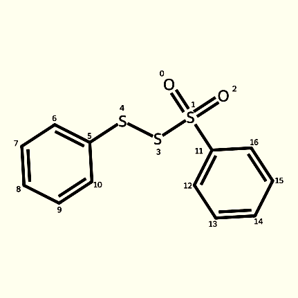 O=S(=O)(SSc1ccccc1)c1ccccc1